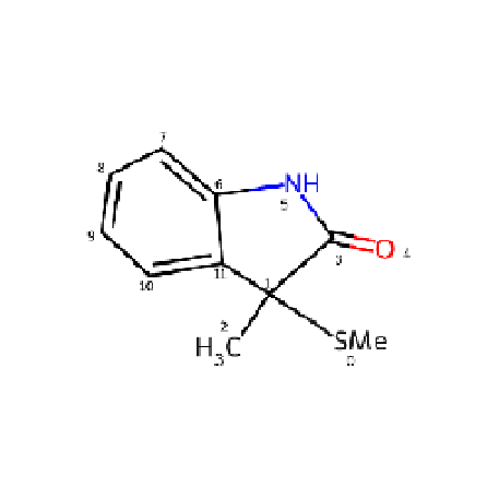 CSC1(C)C(=O)Nc2ccccc21